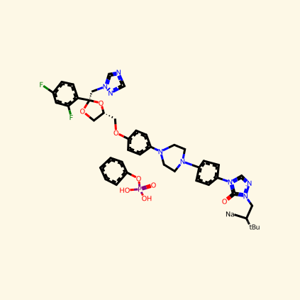 CC(C)(C)[CH]([Na])Cn1ncn(-c2ccc(N3CCN(c4ccc(OC[C@@H]5CO[C@@](Cn6cncn6)(c6ccc(F)cc6F)O5)cc4)CC3)cc2)c1=O.O=P(O)(O)Oc1ccccc1